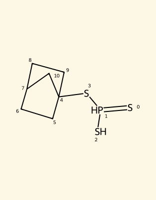 S=[PH](S)SC12CCC(CC1)C2